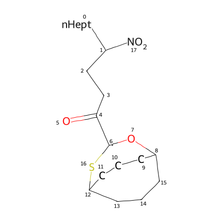 [CH2]CCCCCCC(CCC(=O)[C]1OC2CCCC(CCC2)S1)[N+](=O)[O-]